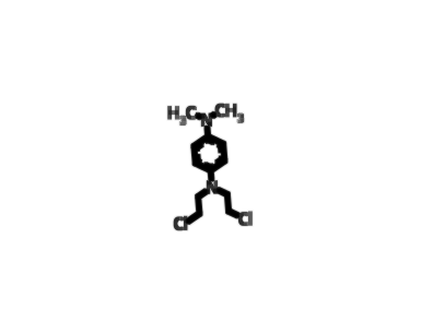 CN(C)c1ccc(N(CCCl)CCCl)cc1